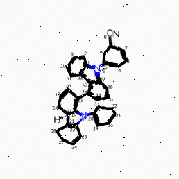 N#CC1C=CC=C(n2c3ccccc3c3c(C4=C5[C@H](CC=C4)C4=C(C=CCC4)N5C4=CC=CCC4)cccc32)C1